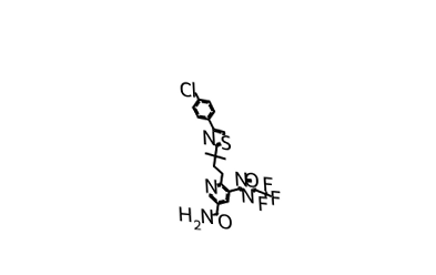 CC(C)(CCc1ncc(C(N)=O)cc1-c1noc(C(F)(F)F)n1)c1nc(-c2ccc(Cl)cc2)cs1